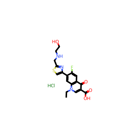 CCn1cc(C(=O)O)c(=O)c2cc(F)c(-c3csc(CNCCO)n3)cc21.Cl